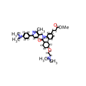 COC(=O)CCc1cccc(N(Cc2ccc(-c3ccc(N(C)C)cc3)nc2C)C(=O)C2CCC(OCCN(C)C)CC2)c1